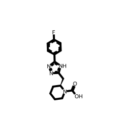 O=C(O)N1CCCC[C@H]1Cc1nnc(-c2ccc(F)cc2)[nH]1